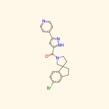 O=C(c1cc(-c2ccncc2)n[nH]1)N1CCC2(CCc3cc(Br)ccc32)C1